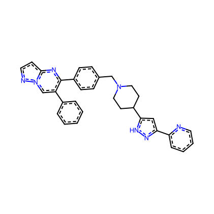 c1ccc(-c2cn3nccc3nc2-c2ccc(CN3CCC(c4cc(-c5ccccn5)n[nH]4)CC3)cc2)cc1